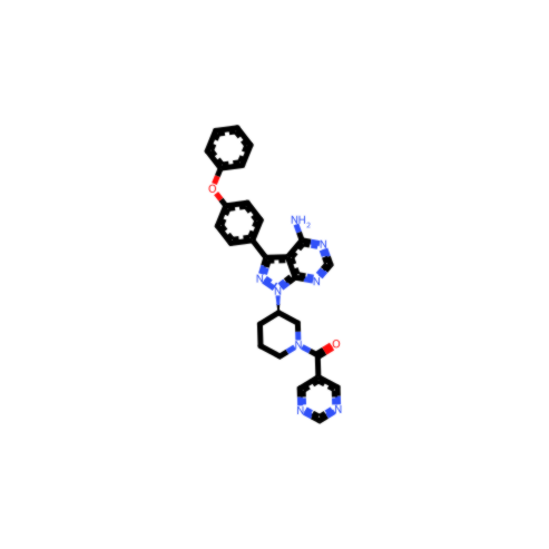 Nc1ncnc2c1c(-c1ccc(Oc3ccccc3)cc1)nn2[C@@H]1CCCN(C(=O)c2cncnc2)C1